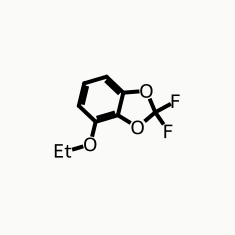 CCOc1cccc2c1OC(F)(F)O2